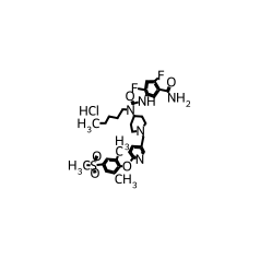 CCCCCN(C(=O)Nc1cc(C(N)=O)c(F)cc1F)C1CCN(Cc2ccc(Oc3c(C)cc(S(C)(=O)=O)cc3C)nc2)CC1.Cl